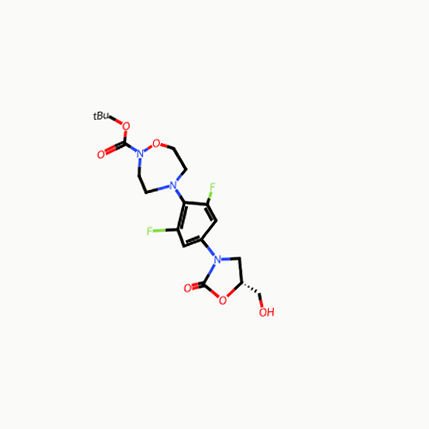 CC(C)(C)OC(=O)N1CCN(c2c(F)cc(N3C[C@H](CO)OC3=O)cc2F)CCO1